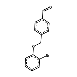 O=Cc1ccc(COc2ccccc2Br)cc1